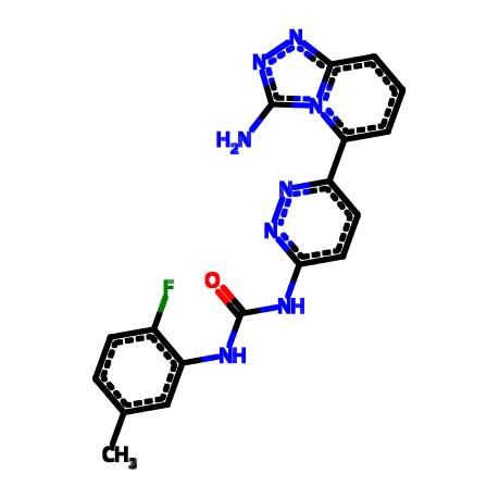 Cc1ccc(F)c(NC(=O)Nc2ccc(-c3cccc4nnc(N)n34)nn2)c1